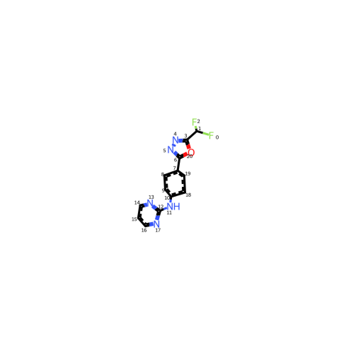 FC(F)c1nnc(-c2ccc(Nc3ncccn3)cc2)o1